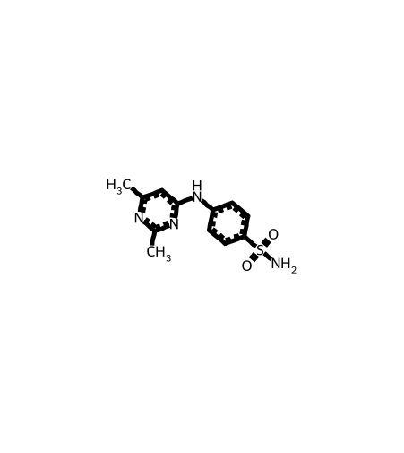 Cc1cc(Nc2ccc(S(N)(=O)=O)cc2)nc(C)n1